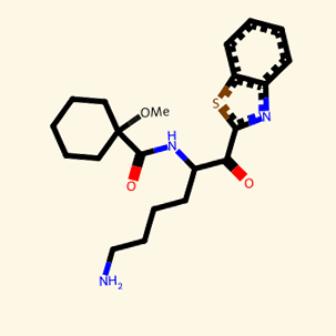 COC1(C(=O)NC(CCCCN)C(=O)c2nc3ccccc3s2)CCCCC1